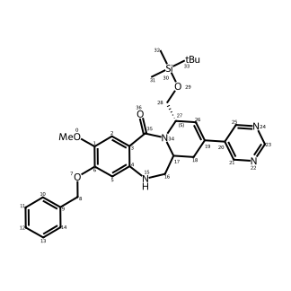 COc1cc2c(cc1OCc1ccccc1)NCC1CC(c3cncnc3)=C[C@@H](CO[Si](C)(C)C(C)(C)C)N1C2=O